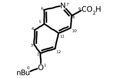 CCCCOc1ccc2cnc(C(=O)O)cc2c1